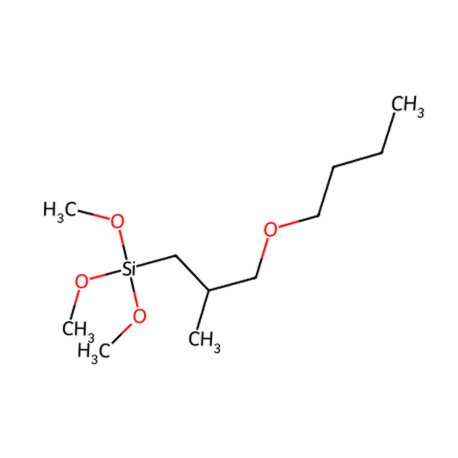 CCCCOCC(C)C[Si](OC)(OC)OC